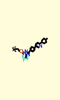 CC1CCC(c2ccc(-c3ccc(-c4nc(C(F)(F)F)n(COCC[Si](C)(C)C)n4)cc3)cn2)CC1